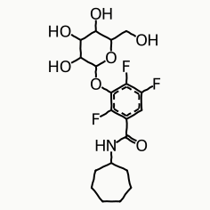 O=C(NC1CCCCCC1)c1cc(F)c(F)c(OC2OC(CO)C(O)C(O)C2O)c1F